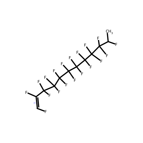 CC(F)C(F)(F)C(F)(F)C(F)(F)C(F)(F)C(F)(F)C(F)(F)C(F)(F)C(F)(F)/C(F)=[C]\F